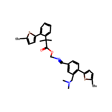 CN(C)Cc1cc(C#[N+]COC(=O)C(C)(C)c2ccccc2-c2ccc(C(C)(C)C)s2)ccc1-c1ccc(C(C)(C)C)s1